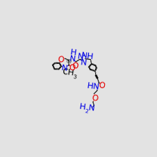 CN1C(=O)[C@@H](NC(=O)c2n[nH]c(Cc3ccc(C#CC(=O)NCCOCCN)cc3)n2)COc2ccccc21